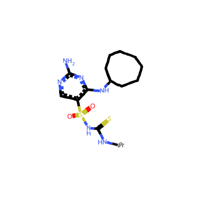 CC(C)NC(=S)NS(=O)(=O)c1cnc(N)nc1NC1CCCCCCC1